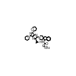 CC(C)(C)OC(=O)N[C@@H]1c2ccccc2CC12CCN(c1nc3c(nc1C1CC1)c(N1CCCCC1)nn3C1CCCCO1)CC2